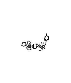 Cc1ccc(Cc2nsc(N3CCN(S(=O)(=O)C4CCCC4)CC3)n2)cc1